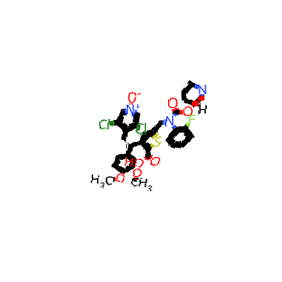 COc1ccc([C@H](Cc2c(Cl)c[n+]([O-])cc2Cl)c2cc(CN(C(=O)O[C@H]3CN4CCC3CC4)c3ccccc3F)sc2C(=O)O)cc1OC